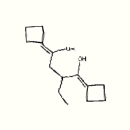 CCC(CC(O)=C1CCC1)C(O)=C1CCC1